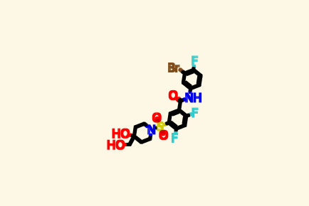 O=C(Nc1ccc(F)c(Br)c1)c1cc(S(=O)(=O)N2CCC(O)(CO)CC2)c(F)cc1F